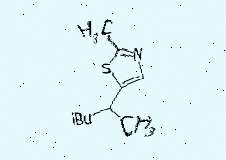 CCC(C)C(C)c1cnc(C)s1